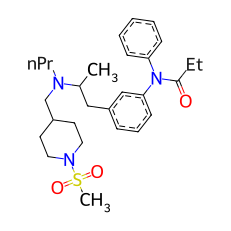 CCCN(CC1CCN(S(C)(=O)=O)CC1)C(C)Cc1cccc(N(C(=O)CC)c2ccccc2)c1